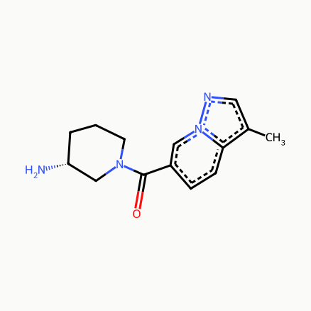 Cc1cnn2cc(C(=O)N3CCC[C@@H](N)C3)ccc12